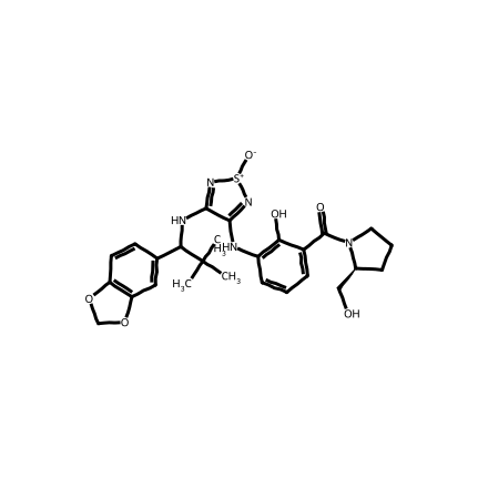 CC(C)(C)C(Nc1n[s+]([O-])nc1Nc1cccc(C(=O)N2CCC[C@H]2CO)c1O)c1ccc2c(c1)OCO2